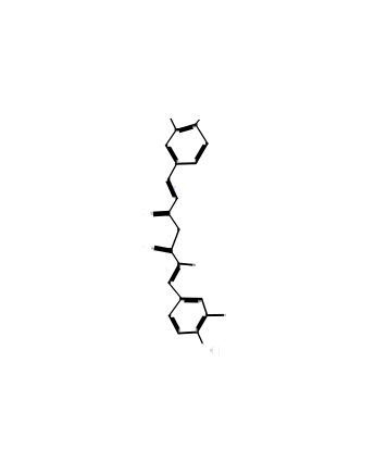 CC/C(=C\c1ccc(O)c(O)c1)C(=O)CC(=O)/C=C/c1ccc(O)c(O)c1